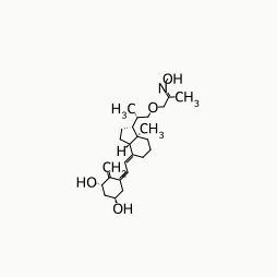 C=C1/C(=C\C=C2/CCC[C@]3(C)[C@@H]([C@H](C)COCC(C)=NO)CC[C@@H]23)C[C@@H](O)C[C@@H]1O